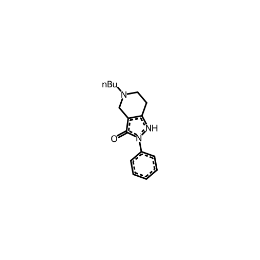 CCCCN1CCc2[nH]n(-c3ccccc3)c(=O)c2C1